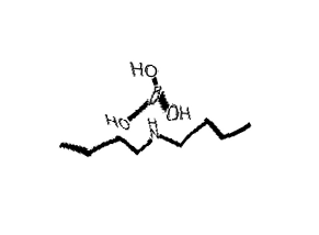 CCCCNCCCC.OB(O)O